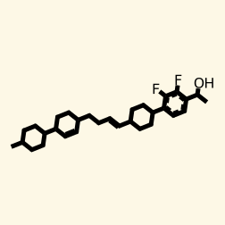 CC1CCC(C2C=CC(CC/C=C/C3CCC(c4ccc(C(C)O)c(F)c4F)CC3)CC2)CC1